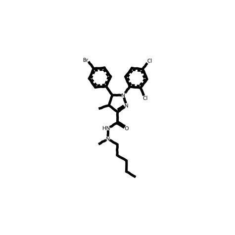 CCCCCN(C)NC(=O)C1=NN(c2ccc(Cl)cc2Cl)C(c2ccc(Br)cc2)C1C